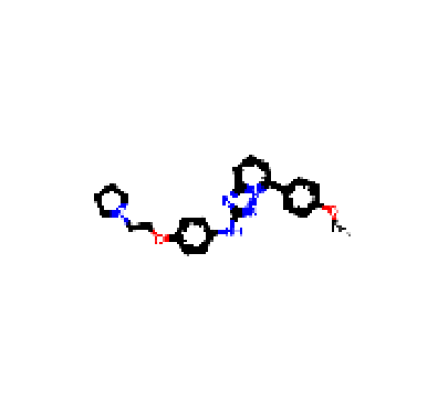 FC(F)(F)Oc1ccc(-c2cccc3nc(Nc4ccc(OCCN5CCCC5)cc4)nn23)cc1